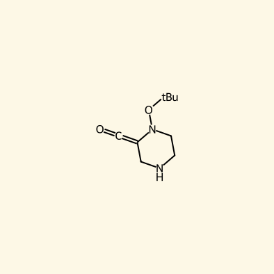 CC(C)(C)ON1CCNCC1=C=O